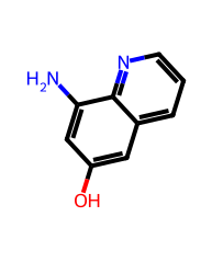 Nc1cc(O)cc2cccnc12